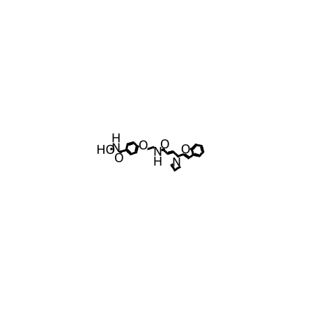 O=C(C=CC(c1cc2ccccc2o1)N1CCC1)NCCOc1ccc(C(=O)NO)cc1